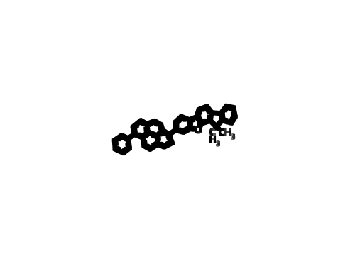 CC1(C)c2ccccc2-c2ccc3c(oc4cc(-c5ccc6ccc7c(-c8ccccc8)ccc8ccc5c6c87)ccc43)c21